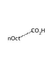 CCCCCCCCCC=CCCC=CCCCC(=O)O